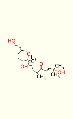 CC(CCCC1(C)OC/C(=C/CO)CC[C@H]1O)C(=O)/C=C/C(C)(C)O